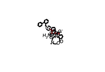 CN1CCOC(=O)c2cccc([N+](=O)[O-])c2N(C(=O)c2ccc(N3CCN(Cc4ccccc4-c4ccccc4)CC3)cc2)[C@@H](C(Sc2ccccc2)S(N)(=O)=O)CC1